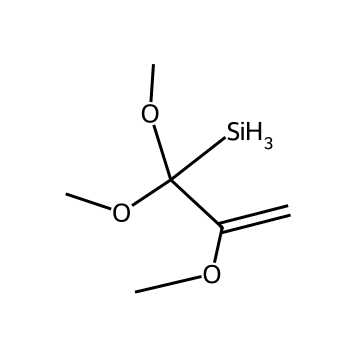 C=C(OC)C([SiH3])(OC)OC